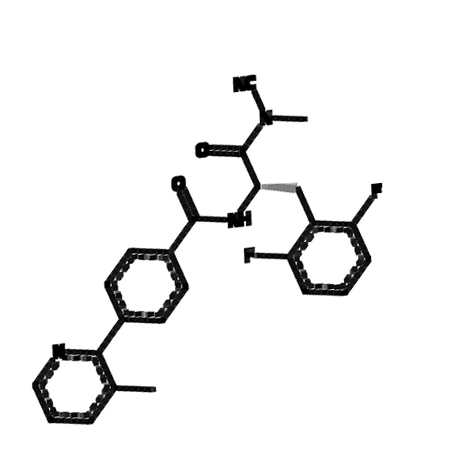 Cc1cccnc1-c1ccc(C(=O)N[C@@H](Cc2c(F)cccc2F)C(=O)N(C)C#N)cc1